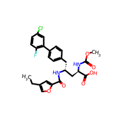 CCc1coc(C(=O)N[C@H](Cc2ccc(-c3cc(Cl)ccc3F)cc2)C[C@@H](NC(=O)OC)C(=O)O)c1